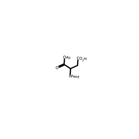 CCCCCC(CC(=O)O)C(=O)OC(C)=O